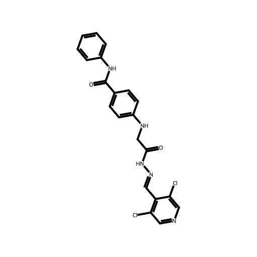 O=C(CNc1ccc(C(=O)Nc2ccccc2)cc1)N/N=C/c1c(Cl)cncc1Cl